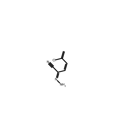 C=C(Cl)/C=C\C(C#N)=N/N